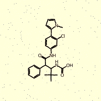 Cn1cccc1-c1ccc(NC(=O)C(c2ccccc2)C(NC(=O)O)C(C)(C)C)cc1Cl